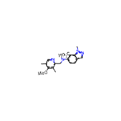 COc1c(C)cnc(CN(C(=O)O)c2ccc3cnn(C)c3c2)c1C